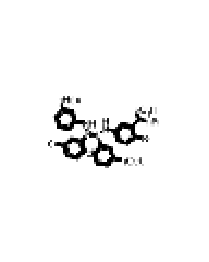 CCCCCCCCc1cccc(N(Nc2ccc(Br)c(C(CCC)S(=O)(=O)O)c2)N(Nc2cccc(CCCCCC)c2)c2cc(Cl)ccc2Cl)c1